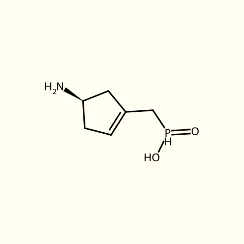 N[C@@H]1CC=C(C[PH](=O)O)C1